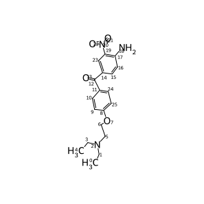 CCN(CC)CCOc1ccc(C(=O)c2ccc(N)c([N+](=O)[O-])c2)cc1